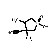 C#CC1(C)CP(=O)(O)CC1C